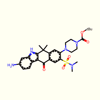 CN(C)S(=O)(=O)c1cc2c(cc1N1CCN(C(=O)OC(C)(C)C)CC1)C(C)(C)c1[nH]c3cc(N)ccc3c1C2=O